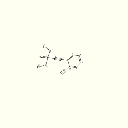 CCOP(=O)(C#Cc1ccccc1[N+](=O)[O-])OCC